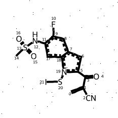 C=C(C#N)C(=O)c1cc2cc(F)c(NS(C)(=O)=O)cc2n1SI